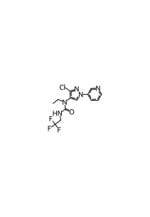 CCN(C(=O)NCC(F)(F)F)c1cn(-c2cccnc2)nc1Cl